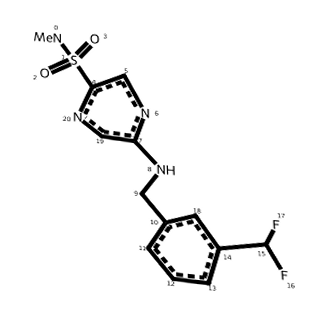 CNS(=O)(=O)c1cnc(NCc2cccc(C(F)F)c2)cn1